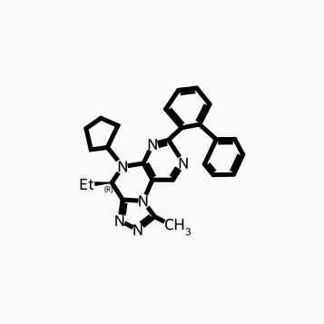 CC[C@@H]1c2nnc(C)n2-c2cnc(-c3ccccc3-c3ccccc3)nc2N1C1CCCC1